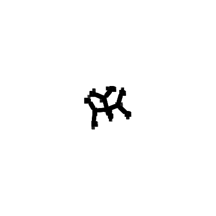 CCN(CC)P(=O)(N(CC)CC)N(CC)CC